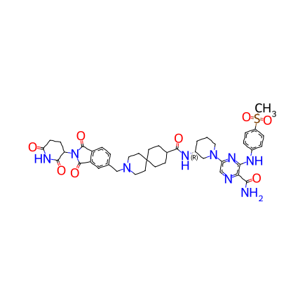 CS(=O)(=O)c1ccc(Nc2nc(N3CCC[C@@H](NC(=O)C4CCC5(CC4)CCN(Cc4ccc6c(c4)C(=O)N(C4CCC(=O)NC4=O)C6=O)CC5)C3)cnc2C(N)=O)cc1